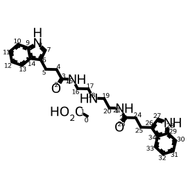 CC(=O)O.O=C(CCc1c[nH]c2ccccc12)NCCNCCNC(=O)CCc1c[nH]c2ccccc12